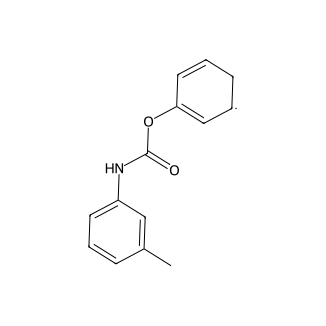 Cc1cccc(NC(=O)OC2=C[CH]CC=C2)c1